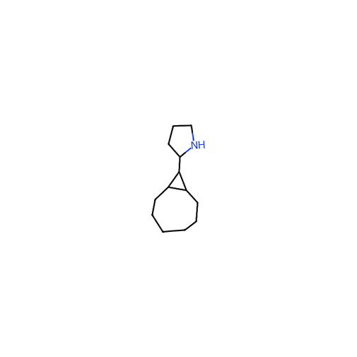 C1CCCC2C(CC1)C2C1CCCN1